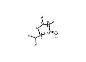 [CH2]C(C)N(C)CC(C)N(C)C=O